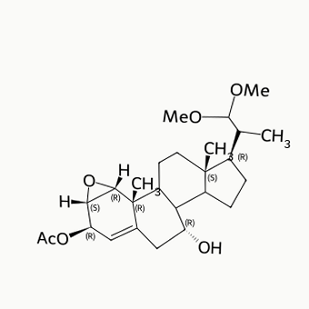 COC(OC)C(C)[C@H]1CCC2C3C(CC[C@@]21C)[C@]1(C)C(=C[C@@H](OC(C)=O)[C@@H]2O[C@@H]21)C[C@H]3O